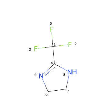 FC(F)(F)C1=NCCN1